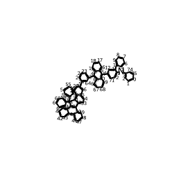 c1ccc(-n2c3ccccc3c3cc(-c4c5ccccc5c(-c5cccc(-c6ccc7c8c(ccc7c6)-c6c(c7ccccc7c7ccccc67)C8(c6ccccc6)c6ccccc6)c5)c5ccccc45)ccc32)cc1